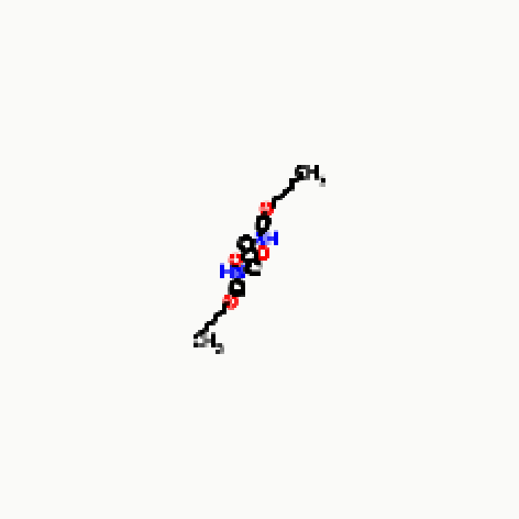 CCCCCCCCOc1ccc(Nc2cccc3c2C(=O)c2cccc(Nc4ccc(OCCCCCCCC)cc4)c2C3=O)cc1